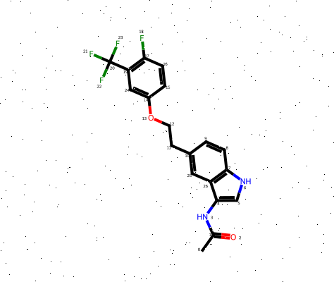 CC(=O)Nc1c[nH]c2ccc(CCOc3ccc(F)c(C(F)(F)F)c3)cc12